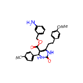 COc1ccc(CCC2=C(C(=O)OCc3cccc(N)c3)C(c3ccc(C#N)cc3)NC(=O)N2)cc1